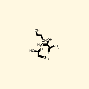 C=C(O)C(N)=O.C=CC(=O)O.OCCO